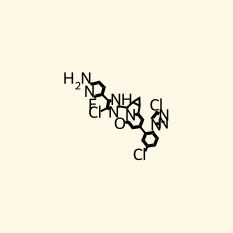 Nc1ccc(-c2[nH]c(C3C4CC4c4cc(-c5cc(Cl)ccc5-n5cc(Cl)nn5)cc(=O)n43)nc2Cl)c(F)n1